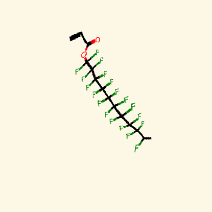 C=CC(=O)OC(F)(F)C(F)(F)C(F)(F)C(F)(F)C(F)(F)C(F)(F)C(F)(F)C(F)(F)C(F)(F)C(C)F